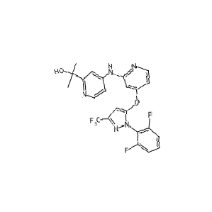 CC(C)(O)c1cc(Nc2cc(Oc3cc(C(F)(F)F)nn3-c3c(F)cccc3F)ccn2)ccn1